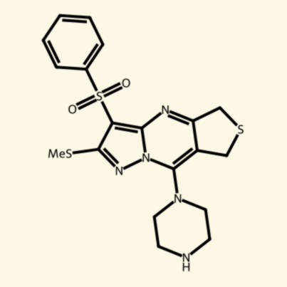 CSc1nn2c(N3CCNCC3)c3c(nc2c1S(=O)(=O)c1ccccc1)CSC3